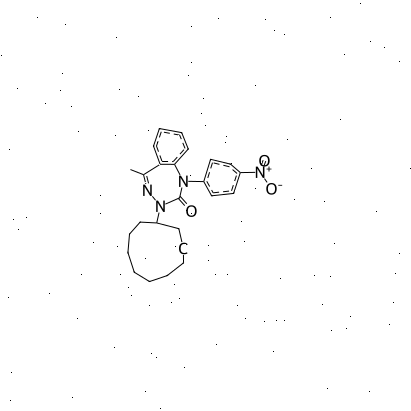 CC1=NN(C2CCCCCCCCC2)C(=O)N(c2ccc([N+](=O)[O-])cc2)c2ccccc21